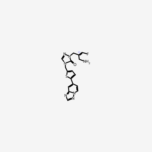 NC/C(=C\F)Cn1ncn(Cc2ccc(-c3ccn4ncnc4c3)s2)c1=O